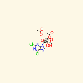 CC(=O)OC[C@H]1O[C@@H](n2cnc3c(Cl)nc(Cl)nc32)[C@@](O)(C(C)=O)[C@@H]1OC(C)=O